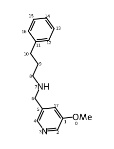 COc1cncc(CNCCCc2ccccc2)c1